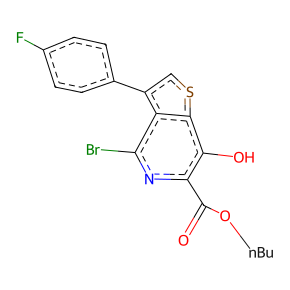 CCCCOC(=O)c1nc(Br)c2c(-c3ccc(F)cc3)csc2c1O